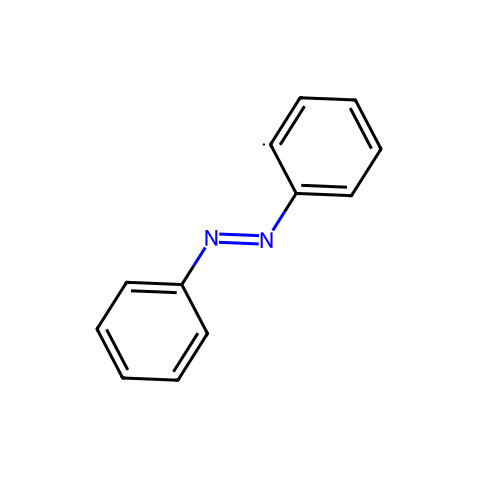 [c]1ccccc1N=Nc1ccccc1